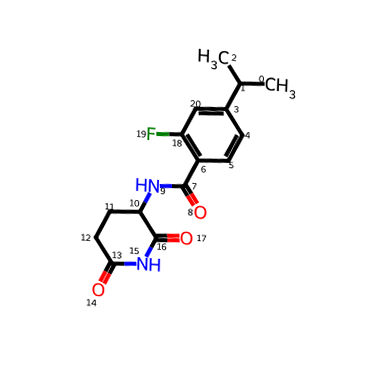 CC(C)c1ccc(C(=O)NC2CCC(=O)NC2=O)c(F)c1